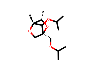 CC(C)OC[C@]12CO[C@@H](C1OC(C)C)[C@H](C)O2